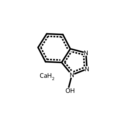 On1nnc2ccccc21.[CaH2]